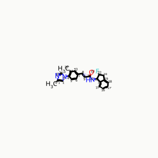 Cc1cn(-c2ccc(/C=C/C(=O)NC3c4ccccc4C[C@@H]3F)cc2C)cn1